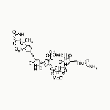 COC[C@H]1O[C@@H](n2cc(C#CCNC(=O)CN)c(=O)[nH]c2=O)C[C@@H]1OP(=O)(O)OC[C@H]1O[C@@H](n2cc(C#Cc3ccc(C(C)OC4CNC(=O)SC4=O)c([N+](=O)[O-])c3)c(=O)[nH]c2=O)C[C@@H]1OP(=O)(O)OC